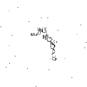 CC(C)(C)OC(=O)N1CCOC(Cn2ncc3cc(-n4ccc(OCc5ccccc5)cc4=O)ccc32)C1